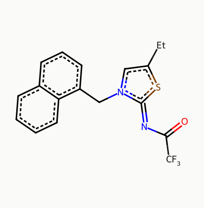 CCc1cn(Cc2cccc3ccccc23)/c(=N/C(=O)C(F)(F)F)s1